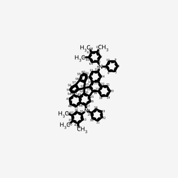 Cc1cc(N(c2ccccc2)c2ccc3c4c(c5ccccc5c3c2)-c2cc(N(c3ccccc3)c3cc(C)c(C)c(C)c3)c3ccccc3c2C42c3ccccc3-c3ccccc32)cc(C)c1C